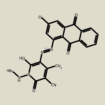 CCCCNn1c(O)c(/N=N/c2cc(Cl)cc3c2C(=O)c2ccccc2C3=O)c(C)c(C#N)c1=O